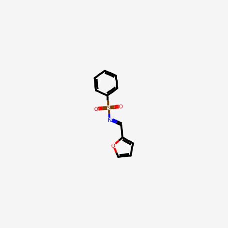 O=S(=O)(N=Cc1ccco1)c1ccccc1